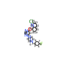 C[C@@H](c1ccc(F)cc1)N1CCN(c2cc(Oc3cccc4ccc(Cl)nc34)ncn2)CC1